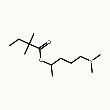 CCC(C)(C)C(=O)OC(C)CCCN(C)C